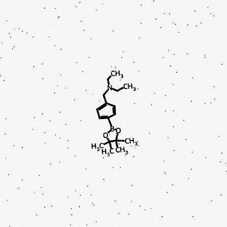 CCN(CC)Cc1ccc(B2OC(C)(C)C(C)(C)O2)cc1